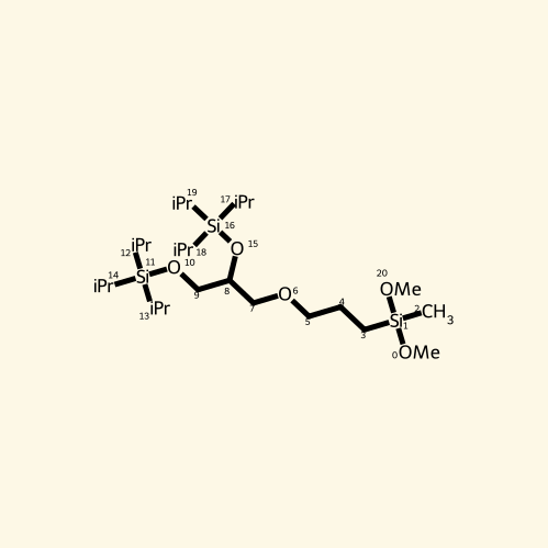 CO[Si](C)(CCCOCC(CO[Si](C(C)C)(C(C)C)C(C)C)O[Si](C(C)C)(C(C)C)C(C)C)OC